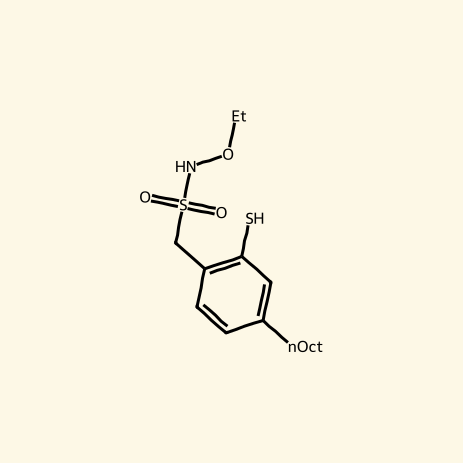 CCCCCCCCc1ccc(CS(=O)(=O)NOCC)c(S)c1